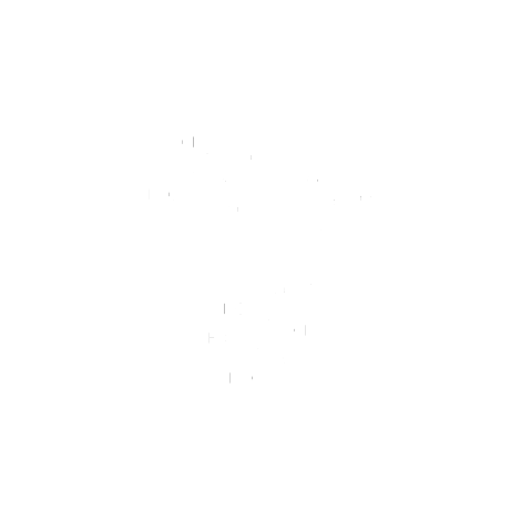 C=C(C)C(=O)OC1CC(C2(OC(C)(C)C(O)(C(F)(F)F)C(F)(F)F)CCCC2)C2CC1OC2=O